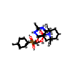 Cc1ccc(S(=O)(=O)Oc2nc(C)nc3c2C[C@H]2CCC[C@@H]3N2C(=O)OC(C)(C)C)cc1